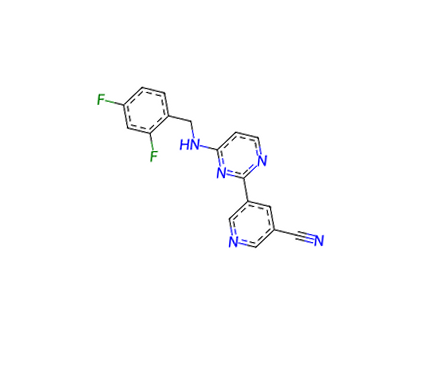 N#Cc1cncc(-c2nccc(NCc3ccc(F)cc3F)n2)c1